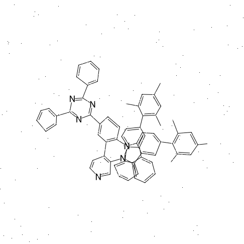 Cc1cc(C)c(-c2ccc3c(c2)c2ccccc2n3-c2ccc(-c3nc(-c4ccccc4)nc(-c4ccccc4)n3)cc2-c2ccncc2-n2c3ccccc3c3cc(-c4c(C)cc(C)cc4C)ccc32)c(C)c1